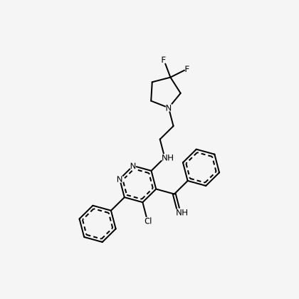 N=C(c1ccccc1)c1c(NCCN2CCC(F)(F)C2)nnc(-c2ccccc2)c1Cl